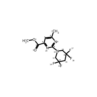 COC(=O)c1cc(C)nc(N2CC(F)(F)CC(F)(F)C2)n1